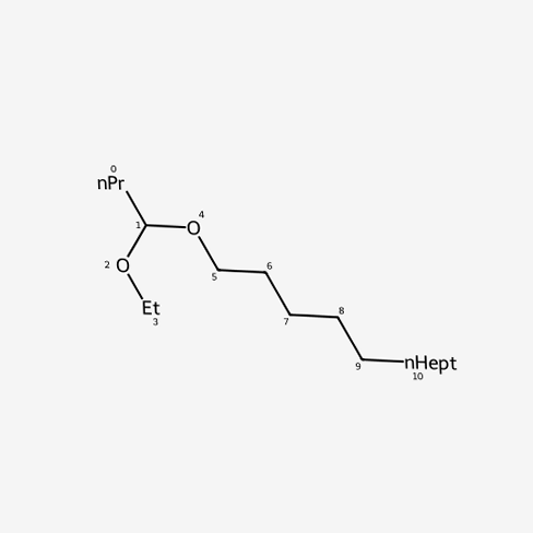 [CH2]CCC(OCC)OCCCCCCCCCCCC